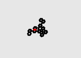 c1ccc(N(c2ccc(-c3cccc4ccccc34)cc2)c2cc3c(cc2-c2ccc(-c4cccc5c4CCCC5)cc2)-c2ccccc2C32c3ccccc3-c3ccccc32)cc1